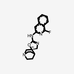 Fc1nc(NC2=NC[C@@]3(CN4CCC3CC4)O2)cc2ccccc12